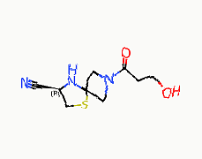 N#C[C@@H]1CSC2(CN(C(=O)CCO)C2)N1